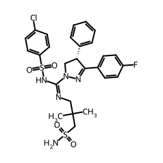 CC(C)(C/N=C(/NS(=O)(=O)c1ccc(Cl)cc1)N1C[C@H](c2ccccc2)C(c2ccc(F)cc2)=N1)CS(N)(=O)=O